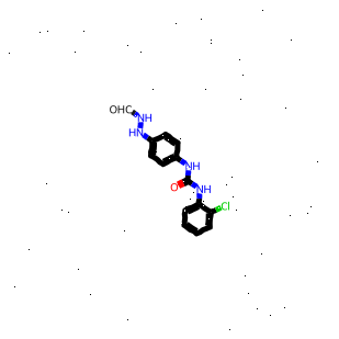 O=CNNc1ccc(NC(=O)Nc2ccccc2Cl)cc1